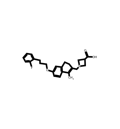 CC1=C(CN2CC(C(=O)O)C2)CCc2cc(OCCCc3ccccc3F)ccc21